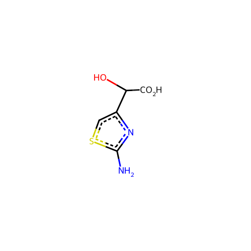 Nc1nc(C(O)C(=O)O)cs1